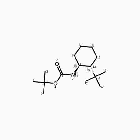 CC(C)(C)OC(=O)N[C@H]1CCCC[C@@H]1C(C)(C)C